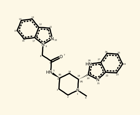 CN1CC[C@@H](NC(=O)Cn2ncc3ccccc32)C[C@@H]1c1nc2ccccc2[nH]1